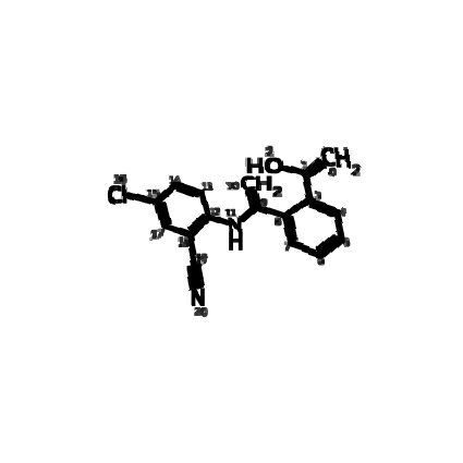 C=C(O)c1ccccc1C(=C)Nc1ccc(Cl)cc1C#N